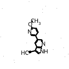 C#Cc1c[nH]c2ncc(-c3ccc(OC)nc3)cc12